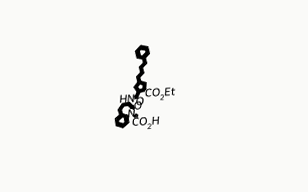 CCOC(=O)C1CC(CCCCc2ccccc2)CC1C(=O)N[C@@H]1CCc2ccccc2N(CC(=O)O)C1=O